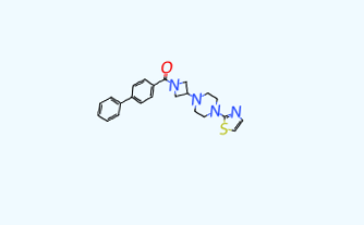 O=C(c1ccc(-c2ccccc2)cc1)N1CC(N2CCN(c3nccs3)CC2)C1